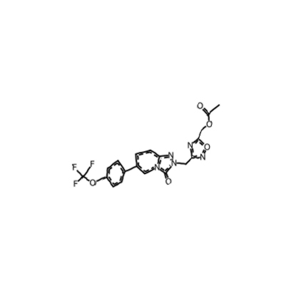 CC(=O)OCc1nc(Cn2nc3ccc(-c4ccc(OC(F)(F)F)cc4)cn3c2=O)no1